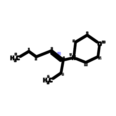 CCC/C=C(\CC)N1CCOCC1